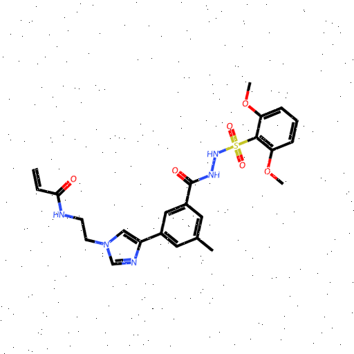 C=CC(=O)NCCn1cnc(-c2cc(C)cc(C(=O)NNS(=O)(=O)c3c(OC)cccc3OC)c2)c1